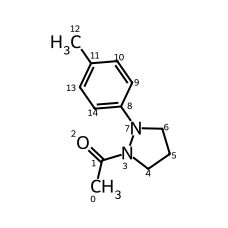 CC(=O)N1CCCN1c1ccc(C)cc1